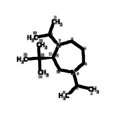 CC(C)N1CCCN(C(C)C)[C@H](C(C)(C)C)C1